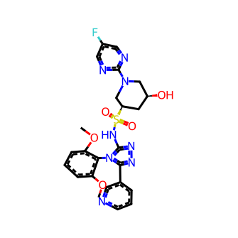 COc1cccc(OC)c1-n1c(NS(=O)(=O)[C@@H]2C[C@H](O)CN(c3ncc(F)cn3)C2)nnc1-c1cccnc1